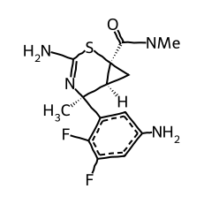 CNC(=O)[C@]12C[C@H]1[C@@](C)(c1cc(N)cc(F)c1F)N=C(N)S2